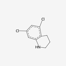 Clc1cc(Cl)c2c(c1)NCCC2